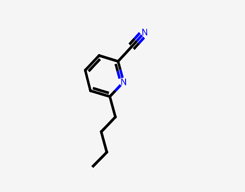 CCCCc1cccc(C#N)n1